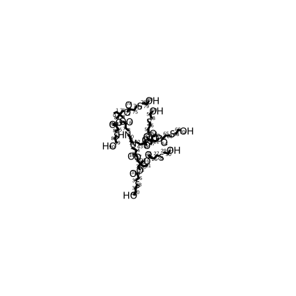 CCC(COC(=O)CCNCCN(CCC(=O)OCC(CC)(COC(=O)CCSCCO)COC(=O)CCSCCO)CCC(=O)OCC(CC)(COC(=O)CCSCCO)COC(=O)CCSCCO)(COC(=O)CCSCCO)COC(=O)CCSCCO